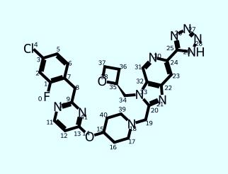 Fc1cc(Cl)ccc1Cc1nccc(OC2CCN(Cc3nc4cc(-c5nnn[nH]5)ncc4n3C[C@@H]3CCO3)CC2)n1